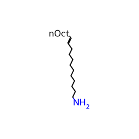 CCCCCCCC/C=C/CCCCCCCCCCN